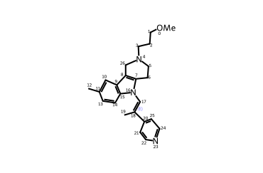 COCCCN1CCc2c(c3cc(C)ccc3n2/C=C(\C)c2ccncc2)C1